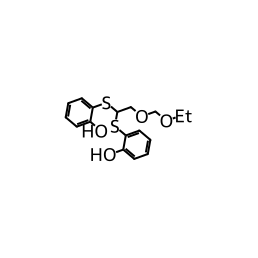 CCOCOCC(Sc1ccccc1O)Sc1ccccc1O